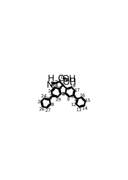 CO.N#CCC(O)(c1ccc(-c2ccccc2)cc1)c1ccc(-c2ccccc2)cc1